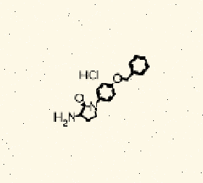 Cl.NC1CCN(c2ccc(OCc3ccccc3)cc2)C1=O